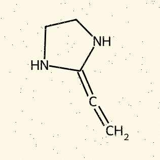 C=C=C1NCCN1